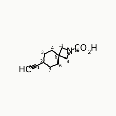 C#CC1CCC2(CC1)CN(C(=O)O)C2